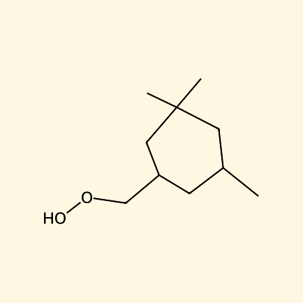 CC1CC(COO)CC(C)(C)C1